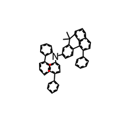 CC1(C)c2cc(N(c3ccc(-c4ccccc4)cc3)c3ccccc3-c3ccccc3)ccc2-c2c(-c3ccccc3)ccc3cccc1c23